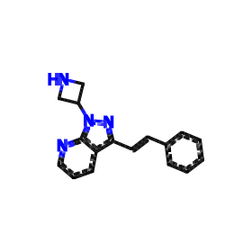 C(=C\c1nn(C2CNC2)c2ncccc12)/c1ccccc1